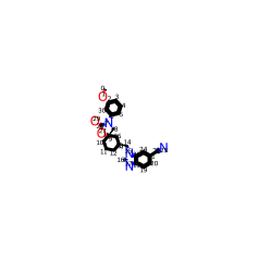 COc1cccc(N2C[C@@]3(CCC[C@H](Cn4cnc5ccc(C#N)cc54)C3)OC2=O)c1